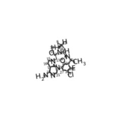 C[C@H](NC(=O)[C@@H]1C[C@H]2C[C@H]2N1C(=O)Cn1ccc2c(N)ncnc21)c1cccc(Cl)c1F